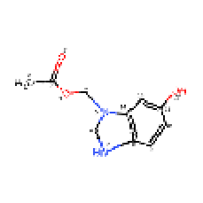 CC(=O)OCN1[CH]Nc2[c]cc(O)cc21